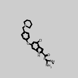 CNC(N)=NC(=O)c1cc2c(Cl)cc(Oc3ccc(CN4CCCCC4)cc3)cc2[nH]1